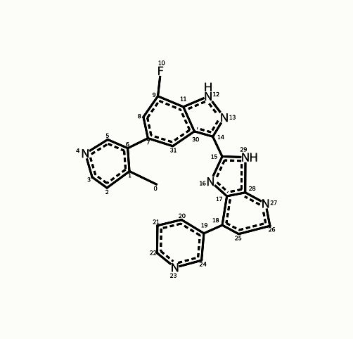 Cc1ccncc1-c1cc(F)c2[nH]nc(-c3nc4c(-c5cccnc5)ccnc4[nH]3)c2c1